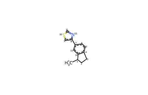 CC1CCc2ccc(-c3cs[c]n3)cc21